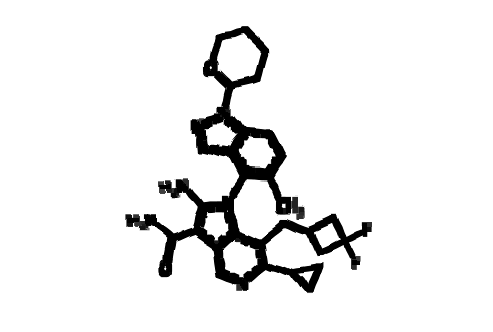 Cc1ccc2c(cnn2C2CCCCO2)c1-n1c(N)c(C(N)=O)c2cnc(C3CC3)c(CC3CC(F)(F)C3)c21